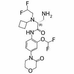 NC[C@H](C(=O)Nc1ccc(N2CCOCC2=O)cc1OC(F)F)N(CC(F)F)C1CCC1